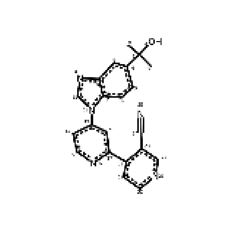 CC(C)(O)c1ccc2c(c1)ncn2-c1ccnc(-c2ccncc2C#N)c1